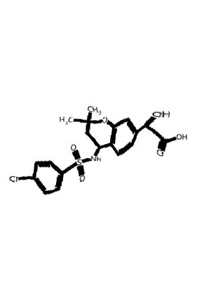 CC1(C)CC(NS(=O)(=O)c2ccc(Cl)cc2)c2ccc(C(O)C(=O)O)cc2O1